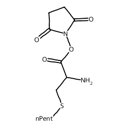 CCCCCSCC(N)C(=O)ON1C(=O)CCC1=O